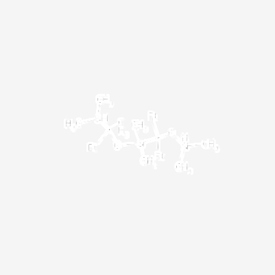 CCC(C)(O[Si](C)(C)C(CC)(CC)O[SiH](C)C)[SiH](C)C